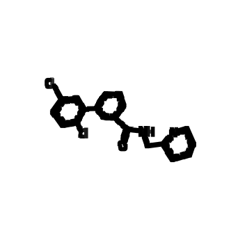 O=C(NCc1ccccn1)c1cccc(-c2cc(Cl)ccc2Cl)c1